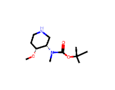 CO[C@@H]1CCNC[C@@H]1N(C)C(=O)OC(C)(C)C